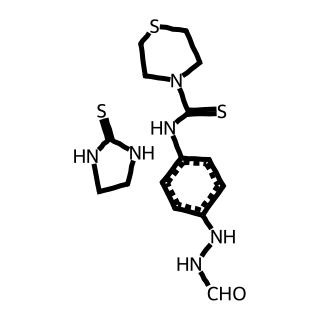 O=CNNc1ccc(NC(=S)N2CCSCC2)cc1.S=C1NCCN1